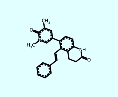 Cc1cc(-c2ccc3c(c2C=Cc2ccccc2)CCC(=O)N3)cn(C)c1=O